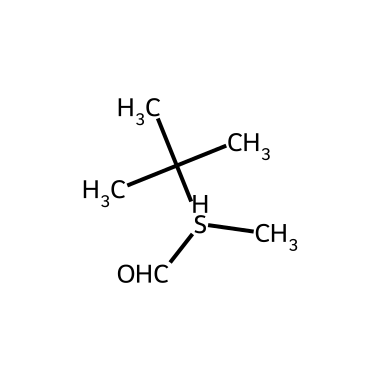 C[SH](C=O)C(C)(C)C